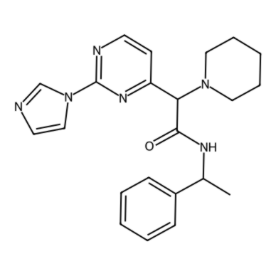 CC(NC(=O)C(c1ccnc(-n2ccnc2)n1)N1CCCCC1)c1ccccc1